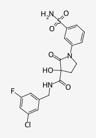 NS(=O)(=O)c1cccc(N2CCC(O)(C(=O)NCc3cc(F)cc(Cl)c3)C2=O)c1